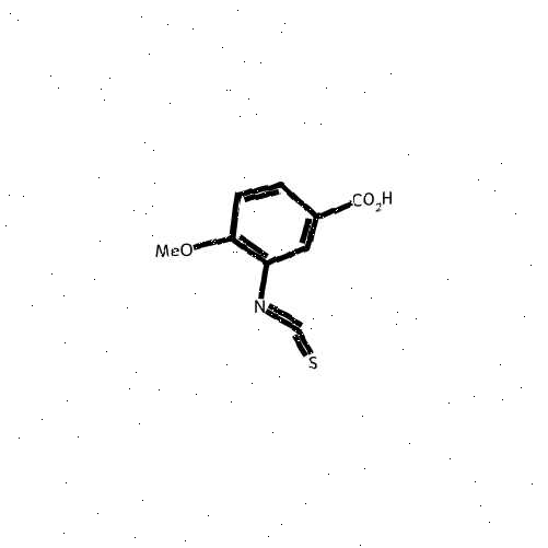 COc1ccc(C(=O)O)cc1N=C=S